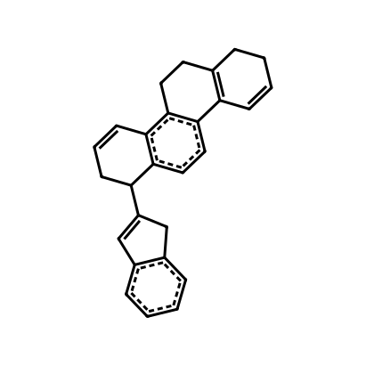 C1=CC2=C(CC1)CCc1c2ccc2c1C=CCC2C1=Cc2ccccc2C1